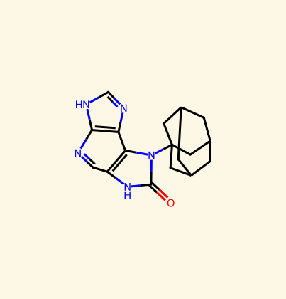 O=c1[nH]c2cnc3[nH]cnc3c2n1C12CC3CC(CC(C3)C1)C2